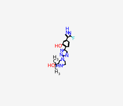 CC(C)(O)C1CN(c2ncc(-c3ccc(-c4c[nH]nc4F)cc3O)nn2)CCN1